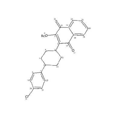 CC(=O)OC1=C(C2CCC(c3ccc(Cl)cc3)CC2)C(=O)c2ccccc2C1=O